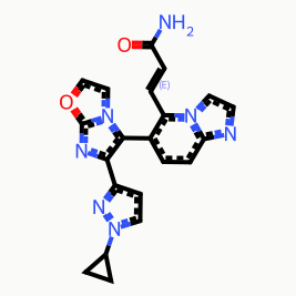 NC(=O)/C=C/c1c(-c2c(-c3ccn(C4CC4)n3)nc3occn23)ccc2nccn12